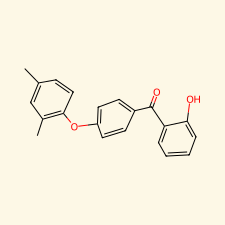 Cc1ccc(Oc2ccc(C(=O)c3ccccc3O)cc2)c(C)c1